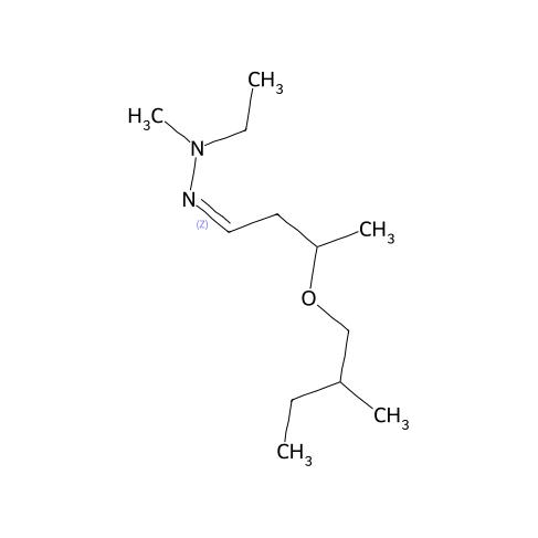 CCC(C)COC(C)C/C=N\N(C)CC